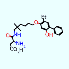 CCc1cc(-c2ccccc2)c(O)cc1OCCCCC(C)(C)CNC(=O)C(N)CC(=O)O